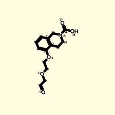 O=CCOCCOc1cccc2c1CCN(C(=O)O)C2